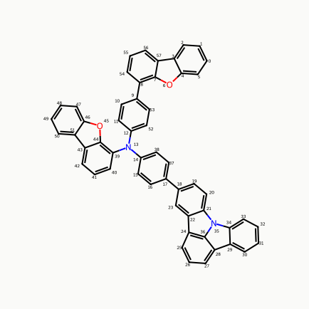 c1ccc2c(c1)oc1c(-c3ccc(N(c4ccc(-c5ccc6c(c5)c5cccc7c8ccccc8n6c75)cc4)c4cccc5c4oc4ccccc45)cc3)cccc12